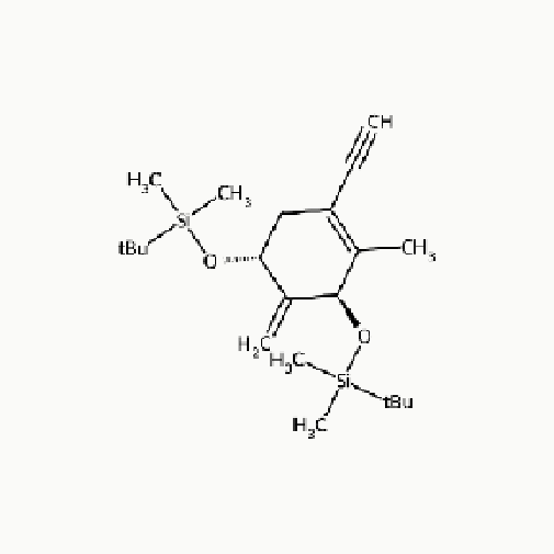 C#CC1=C(C)[C@@H](O[Si](C)(C)C(C)(C)C)C(=C)[C@H](O[Si](C)(C)C(C)(C)C)C1